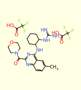 Cc1ccc2nc(C(=O)N3CCOCC3)nc(NC3CCCCC3NC(=N)N)c2c1.O=C(O)C(F)(F)F.O=C(O)C(F)(F)F